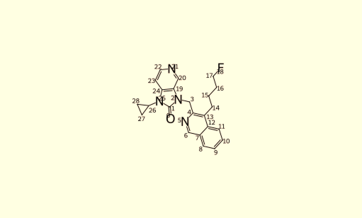 O=c1n(Cc2ncc3ccccc3c2CCCCF)c2cnccc2n1C1CC1